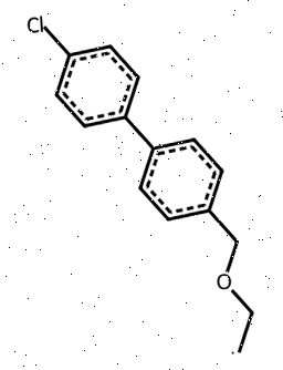 [CH2]COCc1ccc(-c2ccc(Cl)cc2)cc1